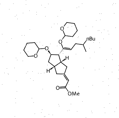 CCCCC(C)CC=C(OC1CCCCO1)[C@@H]1[C@@H]2CC(=CC(=O)OC)C[C@@H]2C[C@H]1OC1CCCCO1